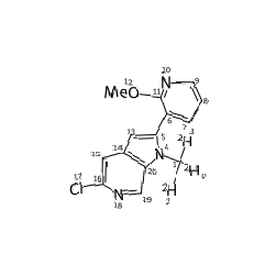 [2H]C([2H])([2H])n1c(-c2cccnc2OC)cc2cc(Cl)ncc21